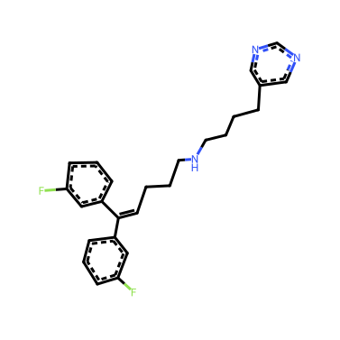 Fc1cccc(C(=CCCCNCCCCc2cncnc2)c2cccc(F)c2)c1